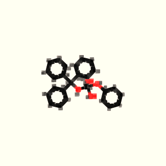 [OH][Ti]([OH])([O]c1ccccc1)[O][Si](c1ccccc1)(c1ccccc1)c1ccccc1